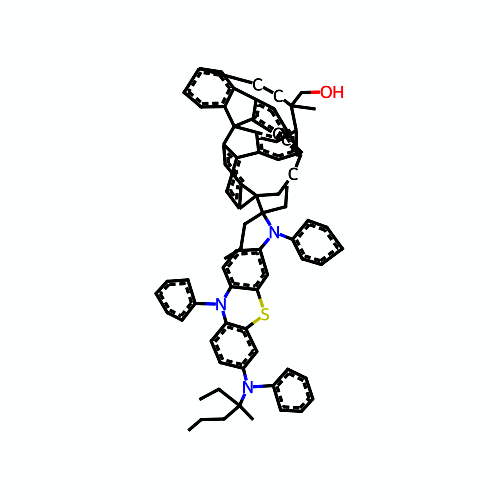 CCCC(C)(CC)N(c1ccccc1)c1ccc2c(c1)Sc1cc(N(c3ccccc3)C(CC)(CCC)C34CCc5ccc6c(c5)-c5cc7ccc5C65c6cc(ccc6-c6cc3c4cc65)C(C)(CO)CC7)ccc1N2c1ccccc1